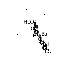 CC[C@H](C)[C@@H](COc1ccc(-c2ccc(Cl)cc2Cl)cc1)Nc1ccc(C(=O)NCCC(=O)O)cn1